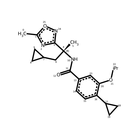 Cc1nc([C@@](C)(CC2CC2)NC(=O)c2ccc(C3CC3)c(OC(C)C)c2)no1